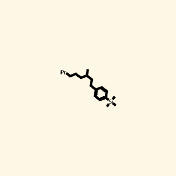 CC(C)CCCC(C)CCc1ccc([Si](C)(C)C)cc1